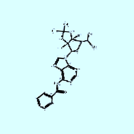 CC(O)[C@H]1O[C@@H](n2cnc3c(NC(=O)c4ccccc4)ncnc32)[C@@H]2OC(C)(C)O[C@@H]21